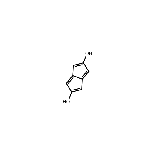 OC1=CC2=CC(O)=CC2=C1